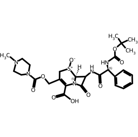 CN1CCN(C(=O)OCC2=C(C(=O)O)N3C(=O)C(NC(=O)[C@@H](NC(=O)OC(C)(C)C)c4ccccc4)[C@@H]3[S+]([O-])C2)CC1